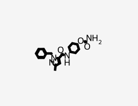 Cc1cc(C(=O)N[C@H]2CC[C@H](OC(N)=O)CC2)n(Cc2ccccc2)n1